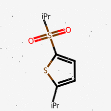 CC(C)c1ccc(S(=O)(=O)C(C)C)s1